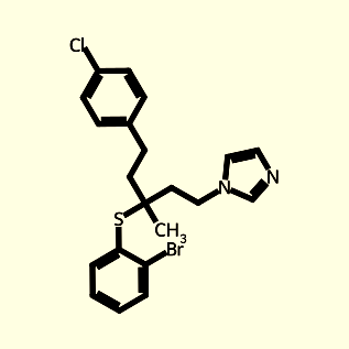 CC(CCc1ccc(Cl)cc1)(CCn1ccnc1)Sc1ccccc1Br